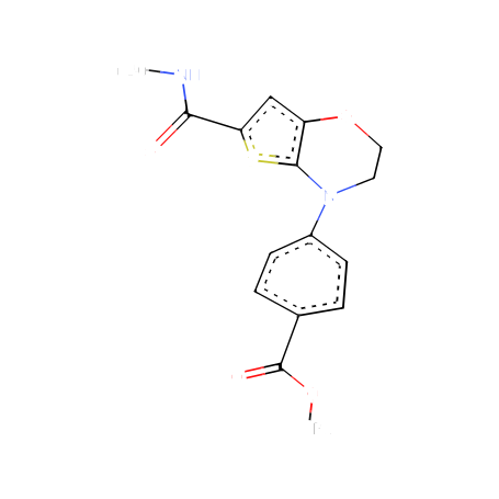 CCCCNC(=O)c1cc2c(s1)N(c1ccc(C(=O)OC(C)(C)C)cc1)CCO2